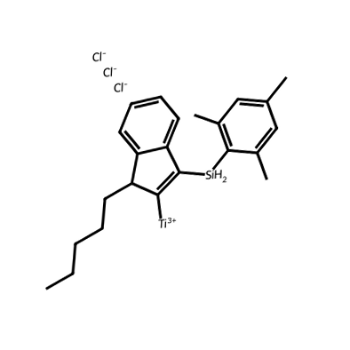 CCCCCC1[C]([Ti+3])=C([SiH2]c2c(C)cc(C)cc2C)c2ccccc21.[Cl-].[Cl-].[Cl-]